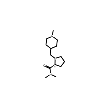 CN1CCC(CN2CCC[C@H]2C(=O)N(C)C)CC1